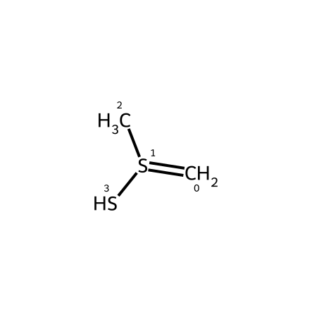 C=S(C)S